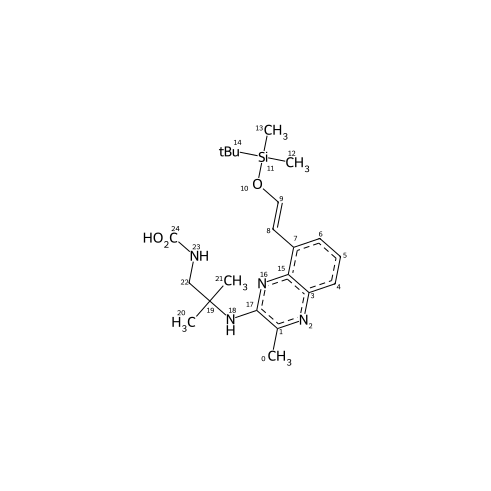 Cc1nc2cccc(C=CO[Si](C)(C)C(C)(C)C)c2nc1NC(C)(C)CNC(=O)O